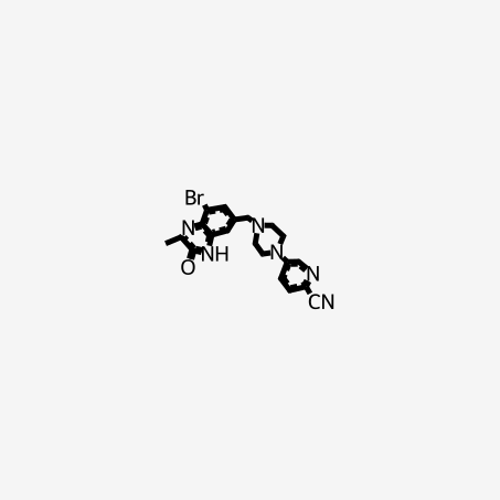 Cc1nc2c(Br)cc(CN3CCN(c4ccc(C#N)nc4)CC3)cc2[nH]c1=O